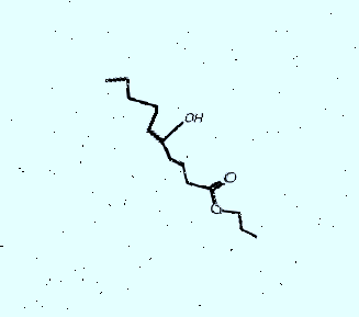 CCCCCC(O)CCCC(=O)OCCC